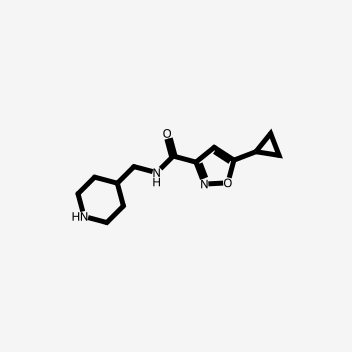 O=C(NCC1CCNCC1)c1cc(C2CC2)on1